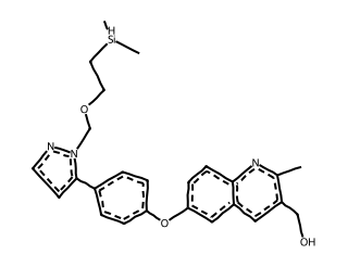 Cc1nc2ccc(Oc3ccc(-c4ccnn4COCC[SiH](C)C)cc3)cc2cc1CO